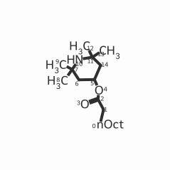 CCCCCCCCCC(=O)OC1CC(C)(C)NC(C)(C)C1